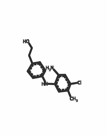 Cc1cc(Nc2ccc(CCO)cc2)c(N)cc1Cl